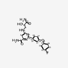 NC(=O)c1cc(NC[C@H](O)C(N)=O)nc(-c2ccc(Oc3ccc(F)cc3)cc2)n1